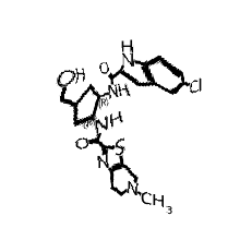 CN1CCc2nc(C(=O)N[C@@H]3CC(CO)C[C@H]3NC(=O)c3cc4cc(Cl)ccc4[nH]3)sc2C1